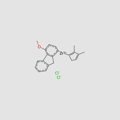 COc1cc[c]([Zr+2][C]2=C(C)C(C)=CC2)c2c1-c1ccccc1C2.[Cl-].[Cl-]